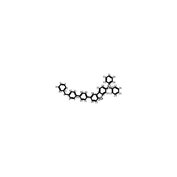 c1ccc(Cc2ccc(-c3ccc(-c4ccc5sc6cc(N(c7ccccc7)c7ccccc7)ccc6c5c4)cc3)cc2)cc1